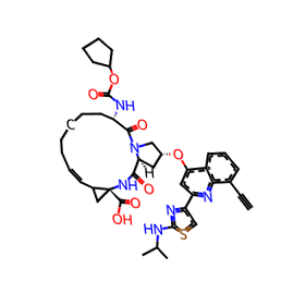 C#Cc1cccc2c(O[C@@H]3C[C@H]4C(=O)N[C@]5(C(=O)O)CC5/C=C\CCCCC[C@H](NC(=O)OC5CCCC5)C(=O)N4C3)cc(-c3csc(NC(C)C)n3)nc12